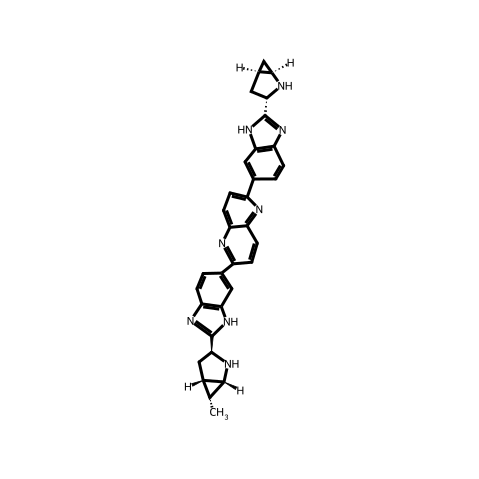 C[C@@H]1[C@@H]2C[C@@H](c3nc4ccc(-c5ccc6nc(-c7ccc8nc([C@@H]9C[C@H]%10C[C@H]%10N9)[nH]c8c7)ccc6n5)cc4[nH]3)N[C@H]12